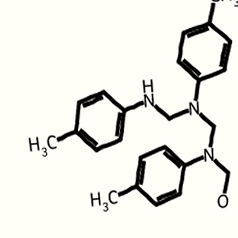 Cc1ccc(NCN(CN(CO)c2ccc(C)cc2)c2ccc(C)cc2)cc1